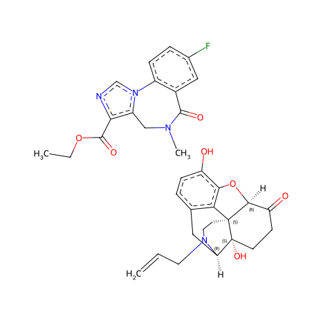 C=CCN1CC[C@]23c4c5ccc(O)c4O[C@H]2C(=O)CC[C@@]3(O)[C@H]1C5.CCOC(=O)c1ncn2c1CN(C)C(=O)c1cc(F)ccc1-2